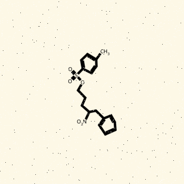 Cc1ccc(S(=O)(=O)OCCCC(Cc2ccccc2)[N+](=O)[O-])cc1